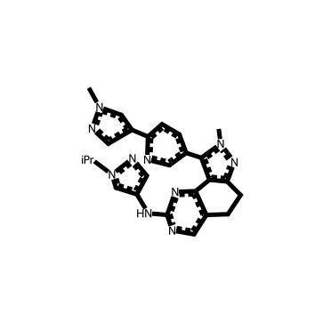 CC(C)n1cc(Nc2ncc3c(n2)-c2c(nn(C)c2-c2ccc(-c4cnn(C)c4)nc2)CC3)cn1